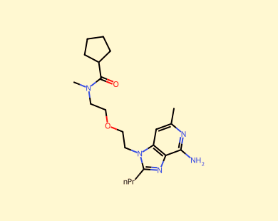 CCCc1nc2c(N)nc(C)cc2n1CCOCCN(C)C(=O)C1CCCC1